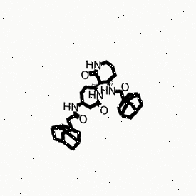 O=C(CC12CC3CC(CC(C3)C1)C2)NC1CC[C@@H](C2C(=O)NCCC[C@@H]2NC(=O)C23CC4CC(CC(C4)C2)C3)NC(=O)C1